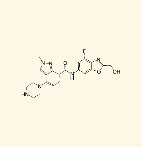 Cn1cc2c(N3CCNCC3)ccc(C(=O)Nc3cc(F)c4nc(CO)oc4c3)c2n1